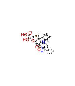 CCCCC1(CCCC)CN(c2ccccc2)c2cc(SC)c(OC[C@H](O)C(=O)O)cc2S(=O)(=O)N1